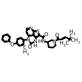 Cc1cc(Oc2ccccc2)ccc1N1C(=O)Nc2c(C(=O)NC3CCCN(C(=O)C=CC(C)(C)C)C3)sc3nccc1c23